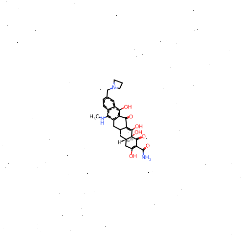 CNc1c2c(c(O)c3cc(CN4CCC4)ccc13)C(=O)C1=C(O)[C@]3(O)C(=O)C(C(N)=O)=C(O)C[C@@H]3CC1C2